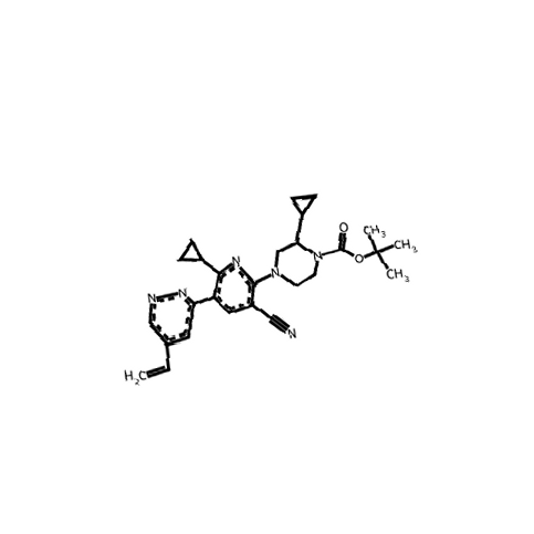 C=Cc1cnnc(-c2cc(C#N)c(N3CCN(C(=O)OC(C)(C)C)C(C4CC4)C3)nc2C2CC2)c1